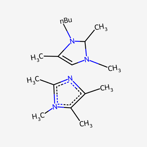 CCCCN1C(C)=CN(C)C1C.Cc1nc(C)n(C)c1C